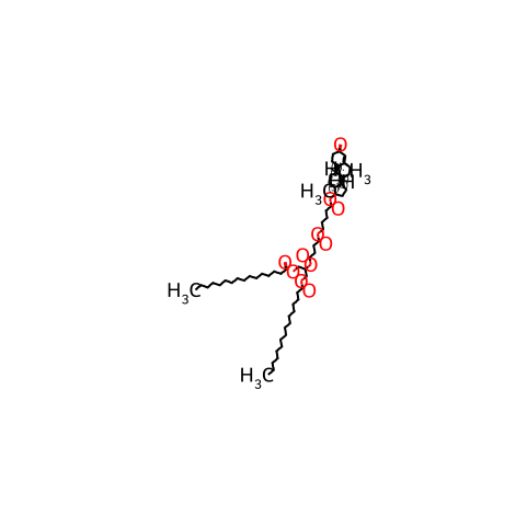 CCCCCCCCCCCCCCCC(=O)OCC(COC(=O)CCCCCCCCCCCCCCC)OC(=O)CCC(=O)OCCCCC(=O)OC1CC[C@H]2[C@@H]3CCC4=CC(=O)CC[C@]4(C)[C@H]3CC[C@]12C